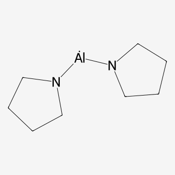 C1CC[N]([Al][N]2CCCC2)C1